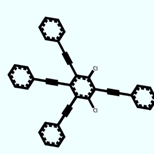 Clc1c(C#Cc2ccccc2)c(Cl)c(C#Cc2ccccc2)c(C#Cc2ccccc2)c1C#Cc1ccccc1